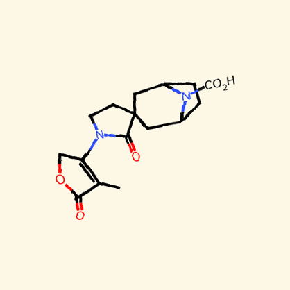 CC1=C(N2CCC3(CC4CCC(C3)N4C(=O)O)C2=O)COC1=O